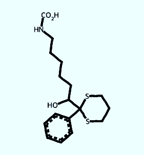 O=C(O)NCCCCCC(O)C1(c2ccccc2)SCCCS1